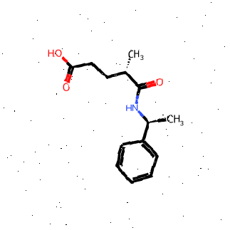 C[C@H](NC(=O)[C@@H](C)CCC(=O)O)c1ccccc1